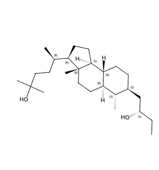 CC[C@H](O)C[C@@H]1CC[C@@H]2[C@H](CC[C@]3(C)[C@@H]([C@H](C)CCC(C)(C)O)CC[C@@H]23)[C@H]1C